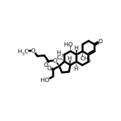 COCCC(=O)O[C@]1(C(=O)CO)CC[C@H]2[C@@H]3CCC4=CC(=O)CC[C@]4(C)[C@H]3[C@@H](O)C[C@@]21C